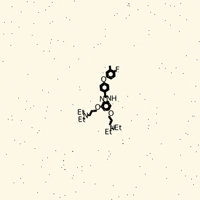 CCN(CC)CCCOc1cc(OCCCN(CC)CC)c2nc(-c3ccc(Oc4ccc(F)c(C)c4)cc3)[nH]c2c1